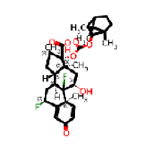 C[C@@H]1C[C@H]2[C@@H]3C[C@H](F)C4=CC(=O)C=C[C@]4(C)C3(F)[C@@H](O)C[C@]2(C)[C@]1(OC(=O)OC1CC2CCC1(C)C2(C)C)C(=O)O